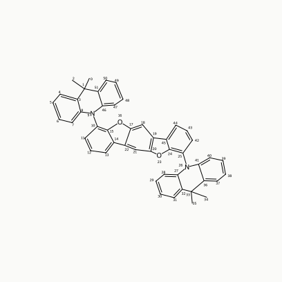 CC1(C)c2ccccc2N(c2cccc3c2oc2cc4c(cc23)oc2c(N3c5ccccc5C(C)(C)c5ccccc53)cccc24)c2ccccc21